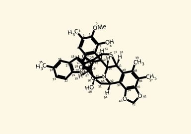 COc1c(C)cc2c(c1O)[C@@H]1[C@@H]3[C@@H]4SC[C@]5(NCCc6c5[nH]c5ccc(C)cc65)C(=O)OC[C@@H](c5c6c(c(C)c(C)c54)OCO6)N3[C@@H](O)[C@H](C2)N1C